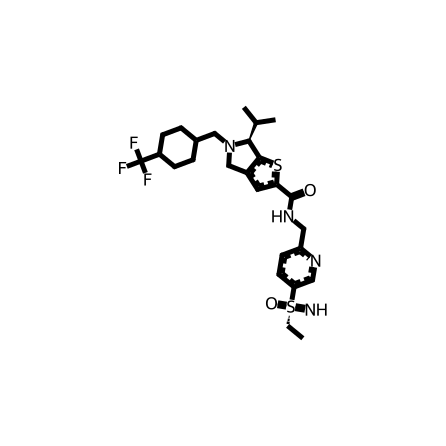 CC[S@](=N)(=O)c1ccc(CNC(=O)c2cc3c(s2)[C@H](C(C)C)N(CC2CCC(C(F)(F)F)CC2)C3)nc1